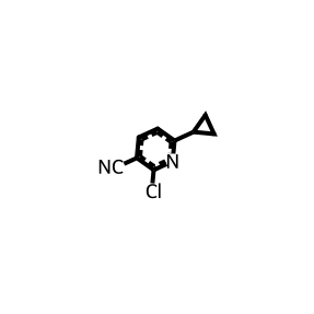 N#Cc1ccc(C2CC2)nc1Cl